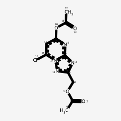 CC(=O)OCc1nc2nc(OC(C)=O)cc(Cl)n2n1